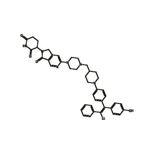 CCC(=C(c1ccc(O)cc1)c1ccc(N2CCC(CN3CCN(c4cc5c(cn4)C(=O)N(C4CCC(=O)NC4=O)C5)CC3)CC2)cc1)c1ccccc1